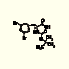 CC(C)(C)OC(=O)N[C@@H](Cc1cc(Br)cc(Br)c1)C(=O)O